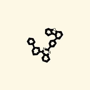 c1ccc(-c2cccc(-c3nc(-c4ccc(-c5cccc6oc7ccccc7c56)cc4)nc4ccccc34)c2)cc1